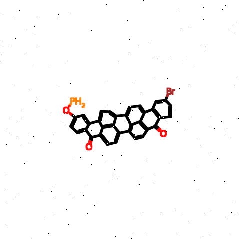 O=C1c2ccc(Br)cc2-c2ccc3c4ccc5c6c(ccc(c7ccc1c2c73)c64)C(=O)c1ccc(OP)cc1-5